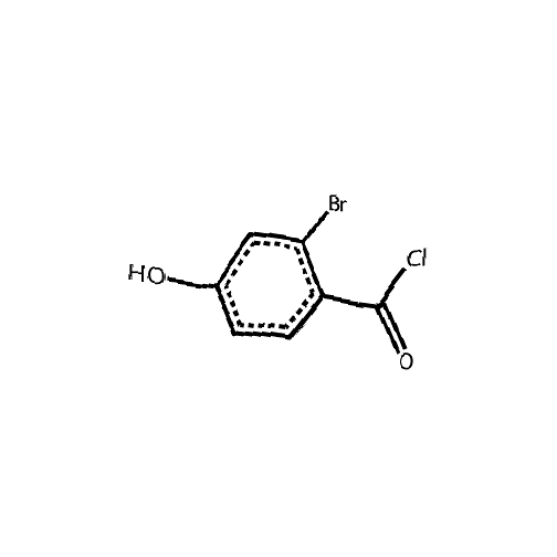 O=C(Cl)c1ccc(O)cc1Br